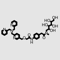 CN(CC(O)C(O)C(O)C(O)CO)C(=O)Cc1ccc(NC(=O)COCc2ccc(CN(Cc3ccccn3)Cc3ccccn3)nc2)cc1